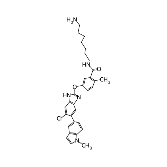 Cc1ccc(Oc2nc3cc(-c4ccc5c(ccn5C)c4)c(Cl)cc3[nH]2)cc1C(=O)NCCCCCCCN